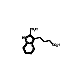 CCOC(=O)c1[nH]c2ccccc2c1CCCC(=O)O